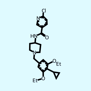 CCOc1cc(CN2CCC(NC(=O)c3ccc(Cl)nc3)CC2)cc(OCC)c1C1CC1